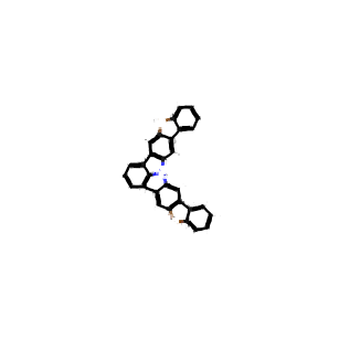 c1ccc2c(c1)sc1cc3c4cccc5c6cc7sc8ccccc8c7cc6n(c3cc12)c45